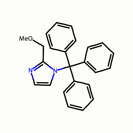 COCc1nccn1C(c1ccccc1)(c1ccccc1)c1ccccc1